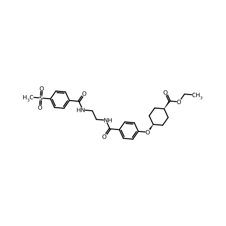 CCOC(=O)[C@H]1CC[C@@H](Oc2ccc(C(=O)NCCNC(=O)c3ccc(S(C)(=O)=O)cc3)cc2)CC1